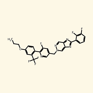 CCCOc1ccc(-c2ncc(Cn3cc4nc(-c5cccc(F)c5F)nc-4cn3)cc2F)c(C(F)(F)F)c1